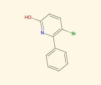 Oc1ccc(Br)c(-c2ccccc2)n1